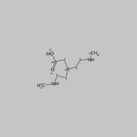 CNCCN(CCNC)CC(=O)O